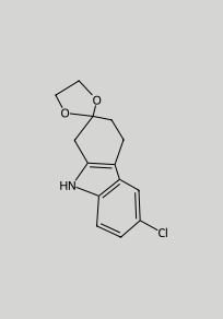 Clc1ccc2[nH]c3c(c2c1)CCC1(C3)OCCO1